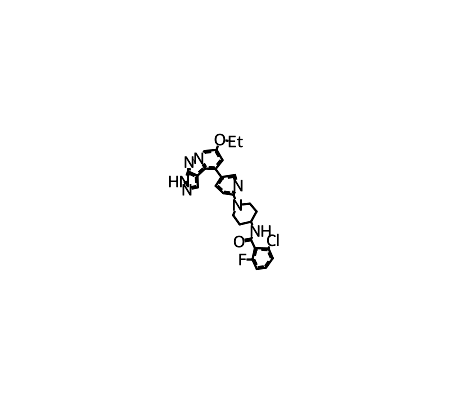 CCOc1cc(-c2ccc(N3CCC(NC(=O)c4c(F)cccc4Cl)CC3)nc2)c2c3cn[nH]c3nn2c1